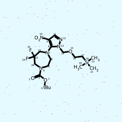 CC(C)(C)OC(=O)N1CCN(c2c([N+](=O)[O-])cnn2COCC[Si](C)(C)C)CC(F)(F)C1